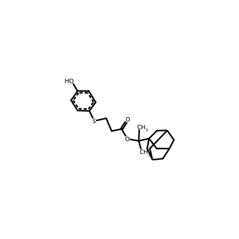 CC(C)(OC(=O)CCSc1ccc(O)cc1)C12CC3CC(CC(C3)C1)C2